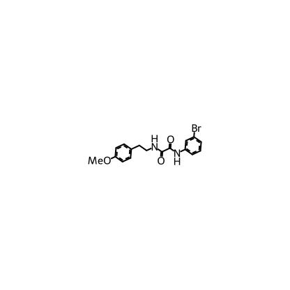 COc1ccc(CCNC(=O)C(=O)Nc2cccc(Br)c2)cc1